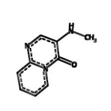 CNc1cnc2ccccn2c1=O